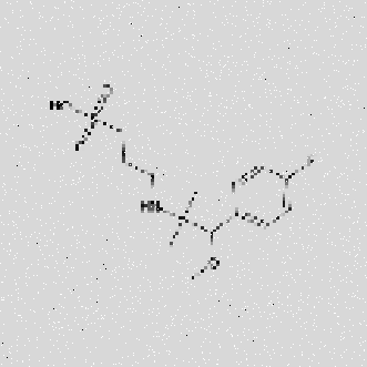 COC(c1ccc(F)cc1)C(C)(C)NCCCS(=O)(=O)O